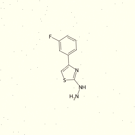 NNc1nc(-c2cccc(F)c2)cs1